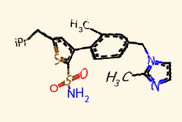 Cc1cc(Cn2ccnc2C)ccc1-c1cc(CC(C)C)sc1S(N)(=O)=O